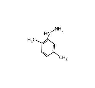 Cc1ccc(C)c(NN)c1